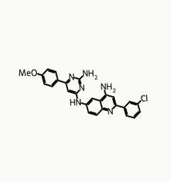 COc1ccc(-c2cc(Nc3ccc4nc(-c5cccc(Cl)c5)cc(N)c4c3)nc(N)n2)cc1